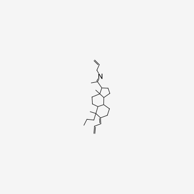 C=C/C=C1/CCC2C(CCC3(C)C(/C(C)=N/CC=C)CCC23)C1(C)CCC